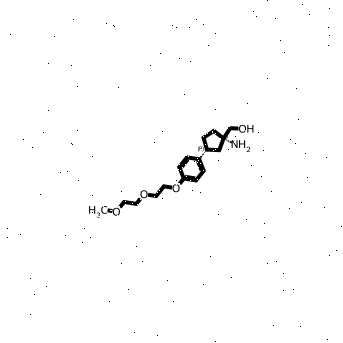 COCCOCCOc1ccc([C@@H]2CC[C@@](N)(CO)C2)cc1